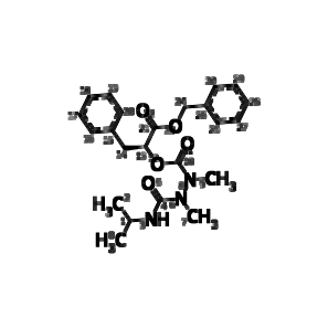 CC(C)NC(=O)N(C)N(C)C(=O)O[C@@H](Cc1ccccc1)C(=O)OCc1ccccc1